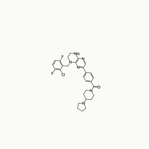 O=C(c1ccc(-c2cnc3c(n2)N(Cc2c(F)ccc(F)c2Cl)CCN3)cc1)N1CCC(N2CCCC2)CC1